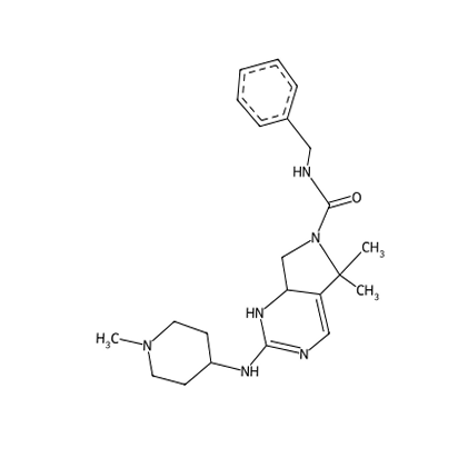 CN1CCC(NC2=NC=C3C(CN(C(=O)NCc4ccccc4)C3(C)C)N2)CC1